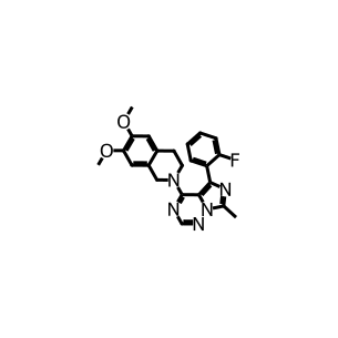 COc1cc2c(cc1OC)CN(c1ncnn3c(C)nc(-c4ccccc4F)c13)CC2